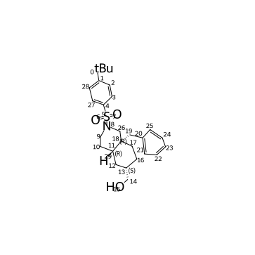 CC(C)(C)c1ccc(S(=O)(=O)N2CC[C@H]3C[C@@H](CO)CC[C@]3(Cc3ccccc3)C2)cc1